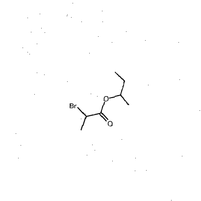 CCC(C)OC(=O)C(C)Br